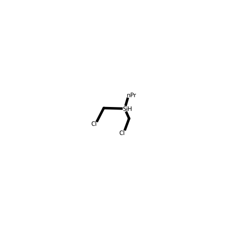 CCC[SiH](CCl)CCl